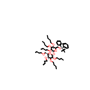 CCCCOC[C@H]1O[C@H](O[C@H]2OC(CO[Si](c3ccccc3)(c3ccccc3)C(C)(C)C)[C@@H](OCCCC)C(OCCCC)C2OCCCC)C(OCCCC)C(OCCCC)[C@@H]1OCCCC